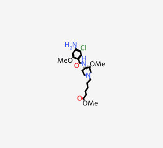 COC(=O)CCCCCN1CC[C@H](NC(=O)c2cc(Cl)c(N)cc2OC)[C@H](OC)C1